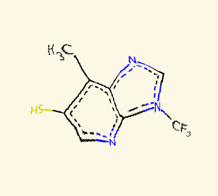 Cc1c(S)cnc2c1ncn2C(F)(F)F